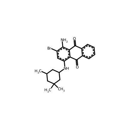 CC1CC(Nc2cc(Br)c(N)c3c2C(=O)c2ccccc2C3=O)CC(C)(C)C1